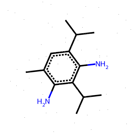 Cc1cc(C(C)C)c(N)c(C(C)C)c1N